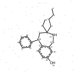 CCCCC1(CC)CN(c2ccccc2)c2ccc(O)cc2SN1